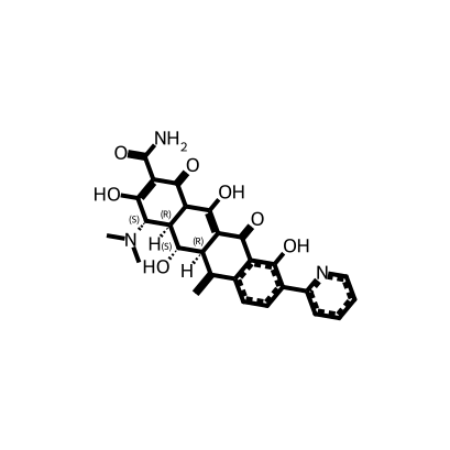 C=C1c2ccc(-c3ccccn3)c(O)c2C(=O)C2=C(O)C3C(=O)C(C(N)=O)=C(O)[C@@H](N(C)C)[C@@H]3[C@@H](O)[C@H]12